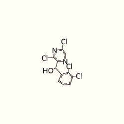 OC(c1cccc(Cl)c1Cl)c1ncc(Cl)nc1Cl